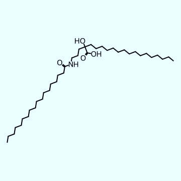 CCCCCCCCCCCCCCCCCC(=O)NCCCC(O)(CCCCCCCCCCCCCCCC)C(=O)O